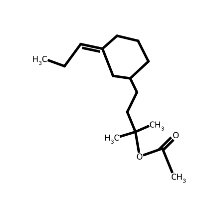 CC/C=C1/CCCC(CCC(C)(C)OC(C)=O)C1